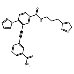 NC(=O)c1cccc(C#Cc2cc(C(=O)NCCCC3=CCN=C3)ccc2-n2cccn2)c1